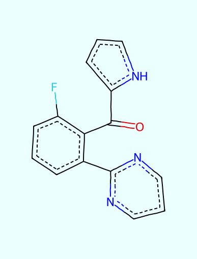 O=C(c1ccc[nH]1)c1c(F)cccc1-c1ncccn1